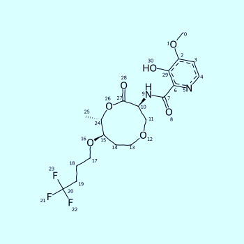 COc1ccnc(C(=O)N[C@H]2COCC[C@@H](OCCCC(F)(F)F)[C@H](C)OC2=O)c1O